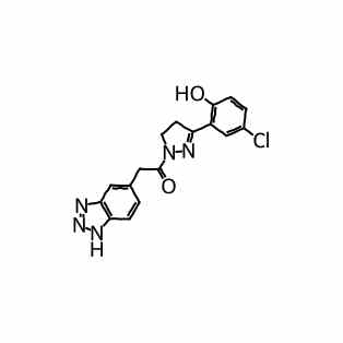 O=C(Cc1ccc2[nH]nnc2c1)N1CCC(c2cc(Cl)ccc2O)=N1